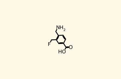 NCc1ccc(C(=O)O)cc1CF